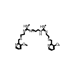 CN/C(=N/CCSCc1ncccc1OC)NCCCN/C(=N\CCSCc1ncccc1OC)NC